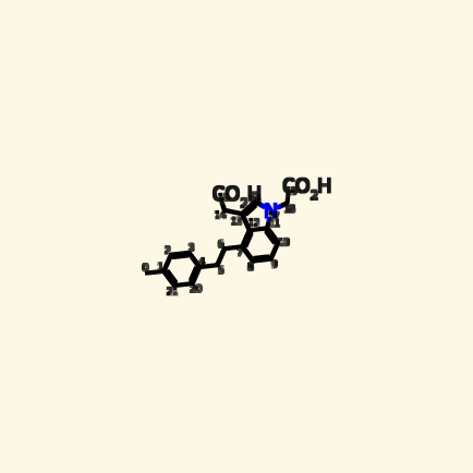 Cc1ccc(CCc2cccc3c2c(CC(=O)O)cn3CC(=O)O)cc1